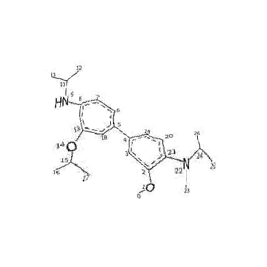 COc1cc(-c2ccc(NC(C)C)c(OC(C)C)c2)ccc1N(C)C(C)C